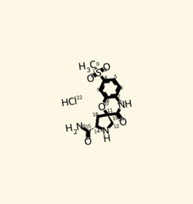 CS(=O)(=O)c1ccc2c(c1)O[C@]1(CN[C@H](C(N)=O)C1)C(=O)N2.Cl